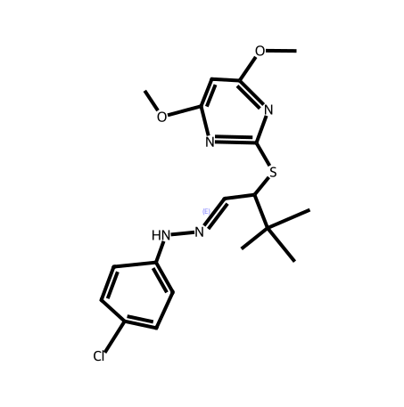 COc1cc(OC)nc(SC(/C=N/Nc2ccc(Cl)cc2)C(C)(C)C)n1